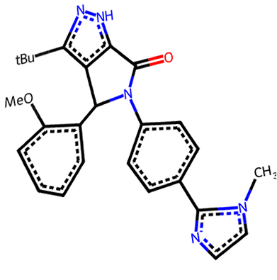 COc1ccccc1C1c2c(C(C)(C)C)n[nH]c2C(=O)N1c1ccc(-c2nccn2C)cc1